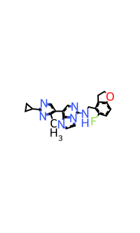 Cc1nc(C2CC2)ncc1-c1cnc(NCc2c(F)ccc3c2CCO3)n2ccnc12